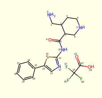 NCC1CCNCC1C(=O)Nc1ncc(-c2ccccc2)s1.O=C(O)C(F)(F)F